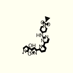 CN1CC[C@@](O)(c2cc(-c3cccc(-c4ccnc(NC5CCN(S(=O)(=O)C6CC6)CC5)n4)n3)no2)C1=O